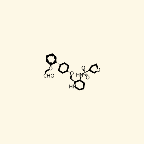 O=CCOc1ccccc1[C@H]1CC[C@@H](OC[C@@H]2NCCC[C@@H]2NS(=O)(=O)[C@H]2CCOC2)CC1